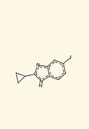 Ic1ccc2[nH]c(C3CC3)nc2c1